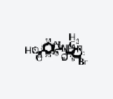 Cc1ncc(Br)cc1C(=O)Nc1nc2ccc(C(=O)O)cc2s1